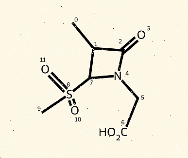 CC1C(=O)N(CC(=O)O)C1S(C)(=O)=O